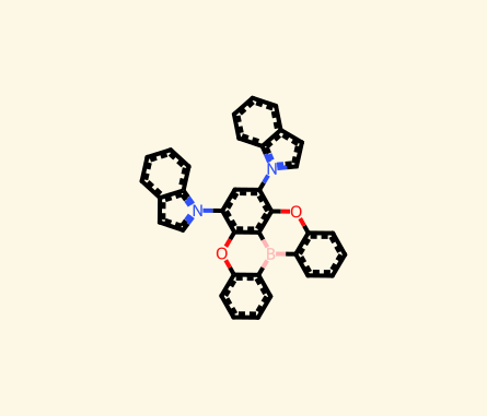 c1ccc2c(c1)Oc1c(-n3ccc4ccccc43)cc(-n3ccc4ccccc43)c3c1B2c1ccccc1O3